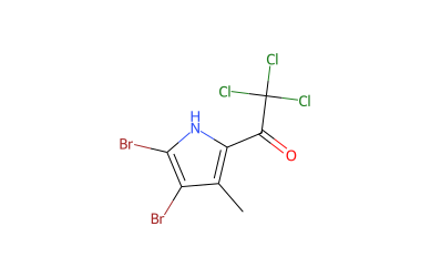 Cc1c(C(=O)C(Cl)(Cl)Cl)[nH]c(Br)c1Br